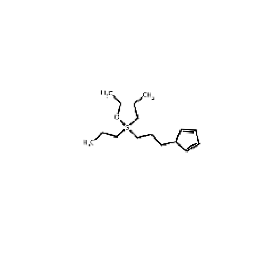 CCC[Si](CCC)(CCCC1C=CC=C1)OCC